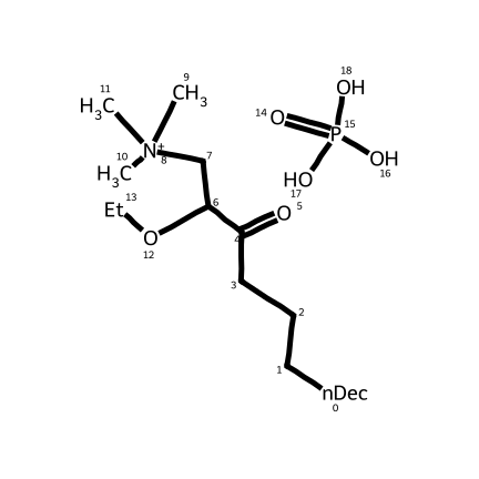 CCCCCCCCCCCCCC(=O)C(C[N+](C)(C)C)OCC.O=P(O)(O)O